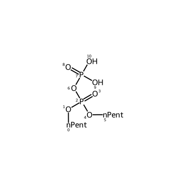 CCCCCOP(=O)(OCCCCC)OP(=O)(O)O